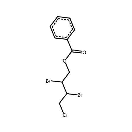 O=C(OCC(Br)C(Br)CCl)c1ccccc1